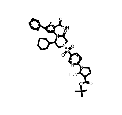 CC(C)(C)OC(=O)C1CCN(c2ccc(S(=O)(=O)N3CC(=O)N(c4cc(-c5ccccc5)sc4C(=O)O)C(C4CCCCC4)C3)cn2)C1N